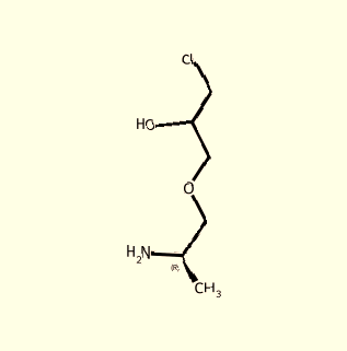 C[C@@H](N)COCC(O)CCl